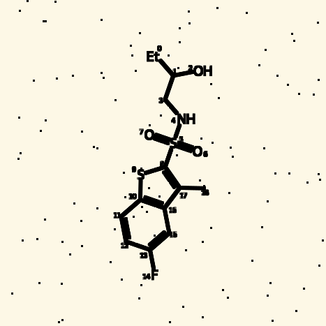 CCC(O)CNS(=O)(=O)c1sc2ccc(F)cc2c1C